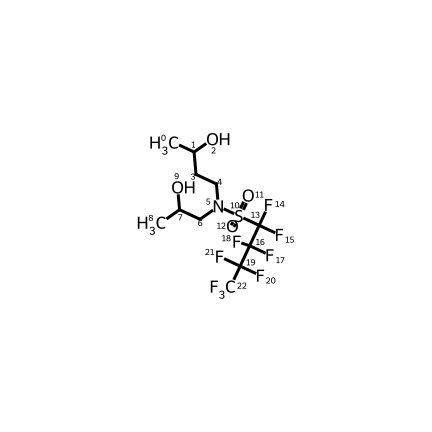 CC(O)CCN(CC(C)O)S(=O)(=O)C(F)(F)C(F)(F)C(F)(F)C(F)(F)F